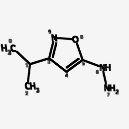 CC(C)c1cc(NN)on1